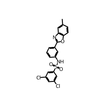 Cc1ccc2oc(-c3cccc(NS(=O)(=O)c4cc(Cl)cc(Cl)c4)c3)nc2c1